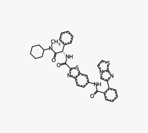 CN(C(=O)[C@@H](NC(=O)c1nc2ccc(NC(=O)c3ccccc3-c3cn4ccsc4n3)cc2s1)c1ccccc1)C1CCCCC1